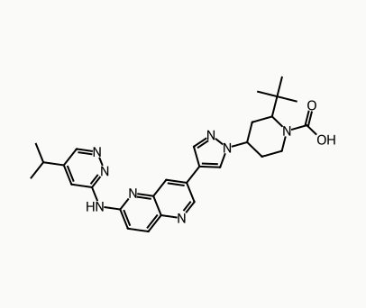 CC(C)c1cnnc(Nc2ccc3ncc(-c4cnn(C5CCN(C(=O)O)C(C(C)(C)C)C5)c4)cc3n2)c1